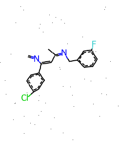 C=N/C(=C\C(C)=N/Cc1cccc(F)c1)c1ccc(Cl)cc1